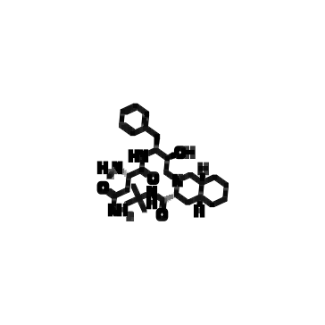 CC(C)(C)NC(=O)[C@H]1C[C@H]2CCCC[C@H]2CN1C[C@H](O)[C@H](Cc1ccccc1)NC(=O)[C@@H](N)CC(N)=O